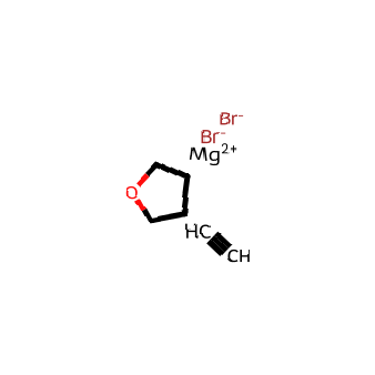 C#C.C1CCOC1.[Br-].[Br-].[Mg+2]